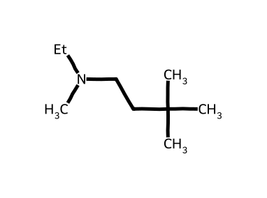 CCN(C)CCC(C)(C)C